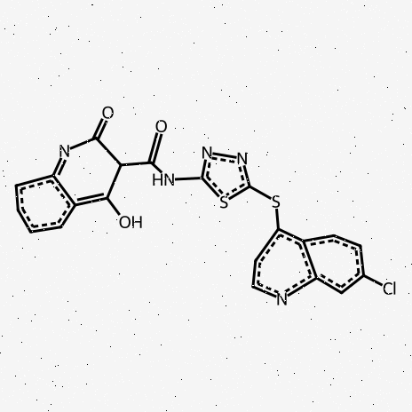 O=C1N=c2ccccc2=C(O)C1C(=O)Nc1nnc(Sc2ccnc3cc(Cl)ccc23)s1